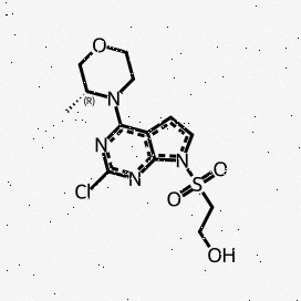 C[C@@H]1COCCN1c1nc(Cl)nc2c1ccn2S(=O)(=O)CCO